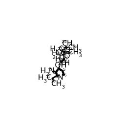 [2H]C([2H])(Oc1ccnc(C(C)C)c1N)C([2H])([2H])O[Si](C)(C)C(C)(C)C